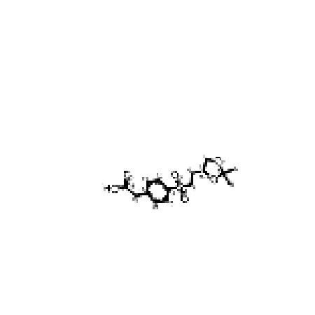 CC1(C)OC[C@H](CCS(=O)(=O)c2ccc(CC(=O)O)cc2)O1